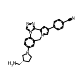 N#Cc1ccc(-c2cc3n(c2)Cc2cc(N4CC[C@H](CN)C4)ccc2-n2cnnc2-3)cc1